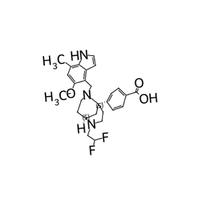 COc1cc(C)c2[nH]ccc2c1CN1CC[C@H]2C[C@]1(c1ccc(C(=O)O)cc1)CCN2CC(F)F